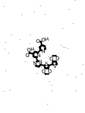 O=C(O)c1ccnc(-c2cc(C(=O)O)cc(-c3nccc(-c4sc(-c5scc6c5OCCO6)c5c4OCCO5)n3)n2)c1